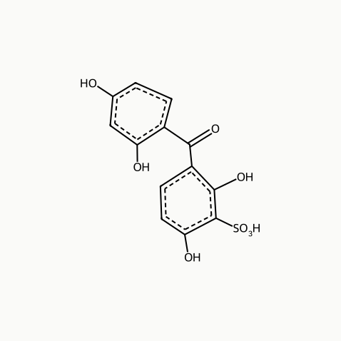 O=C(c1ccc(O)cc1O)c1ccc(O)c(S(=O)(=O)O)c1O